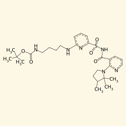 CC1CCN(c2ncccc2C(=O)NS(=O)(=O)c2cccc(NCCCCNC(=O)OC(C)(C)C)n2)C1(C)C